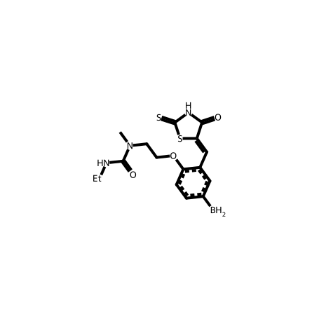 Bc1ccc(OCCN(C)C(=O)NCC)c(/C=C2\SC(=S)NC2=O)c1